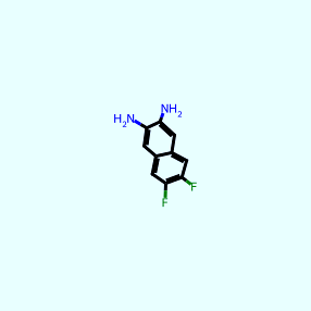 Nc1cc2cc(F)c(F)cc2cc1N